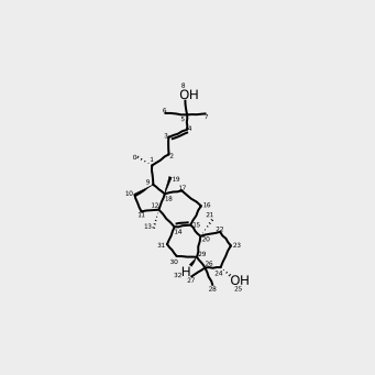 C[C@H](C/C=C/C(C)(C)O)[C@@H]1CC[C@]2(C)C3=C(CC[C@@]12C)[C@@]1(C)CC[C@H](O)C(C)(C)[C@@H]1CC3